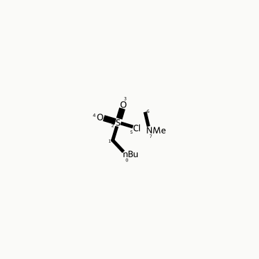 CCCCCS(=O)(=O)Cl.CNC